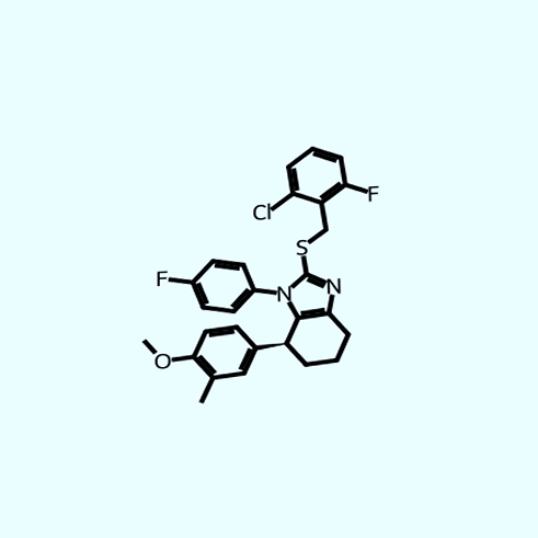 COc1ccc([C@@H]2CCCc3nc(SCc4c(F)cccc4Cl)n(-c4ccc(F)cc4)c32)cc1C